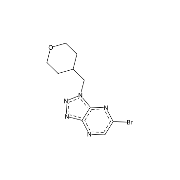 Brc1cnc2nnn(CC3CCOCC3)c2n1